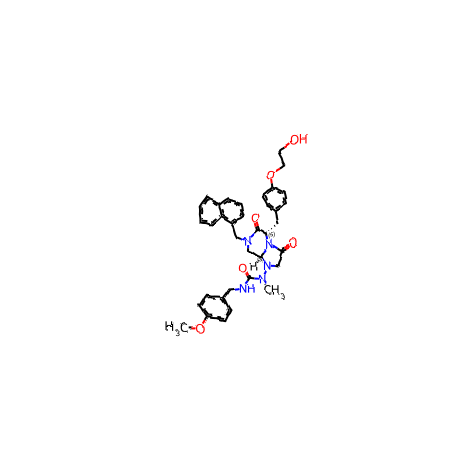 COc1ccc(CNC(=O)N(C)N2CC(=O)N3[C@@H](Cc4ccc(OCCO)cc4)C(=O)N(Cc4cccc5ccccc45)C[C@@H]32)cc1